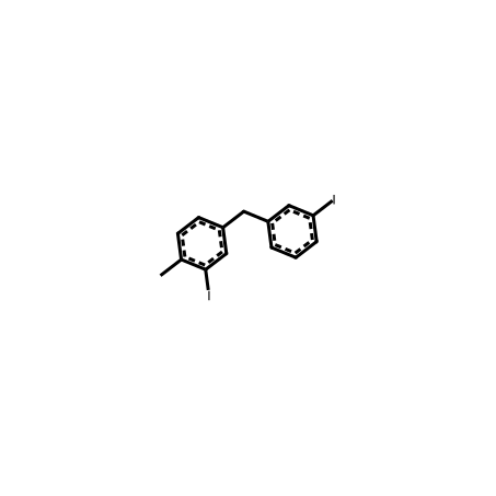 Cc1ccc(Cc2cccc(I)c2)cc1I